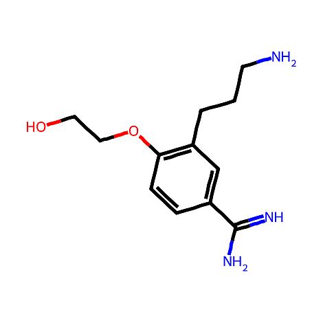 N=C(N)c1ccc(OCCO)c(CCCN)c1